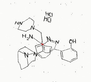 Cl.Cl.Nc1nnc(-c2ccccc2O)cc1N1CC2CCC(C1)N2c1cccc(CN2CCNCC2)c1